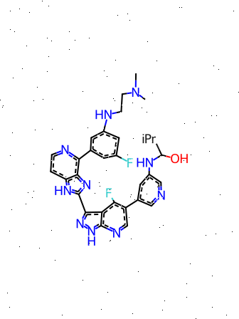 CC(C)C(O)Nc1cncc(-c2cnc3[nH]nc(-c4nc5c(-c6cc(F)cc(NCCN(C)C)c6)nccc5[nH]4)c3c2F)c1